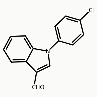 O=Cc1cn(-c2ccc(Cl)cc2)c2ccccc12